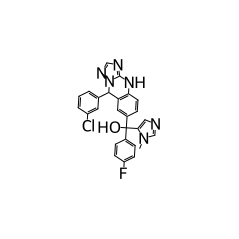 Cn1cncc1C(O)(c1ccc(F)cc1)c1ccc2c(c1)C(c1cccc(Cl)c1)n1ncnc1N2